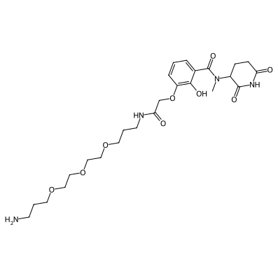 CN(C(=O)c1cccc(OCC(=O)NCCCOCCOCCOCCCN)c1O)C1CCC(=O)NC1=O